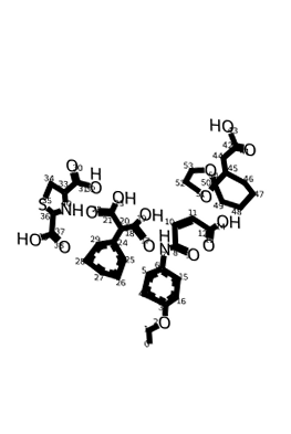 CCOc1ccc(NC(=O)/C=C\C(=O)O)cc1.O=C(O)C(C(=O)O)c1ccccc1.O=C(O)C1CSC(C(=O)O)N1.O=C(O)CC1CCCCC12OCCO2